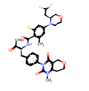 COC(=O)[C@H](Cc1ccc(-n2c(=O)c3c(n(C)c2=O)CCOC3)cc1)NC(=O)c1c(C)cc(N2CCOC[C@@H]2CC(F)F)cc1F